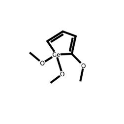 CO[C]1=CC=[CH][Ge]1([O]C)[O]C